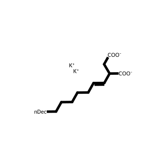 CCCCCCCCCCCCCCC/C=C/C(CC(=O)[O-])C(=O)[O-].[K+].[K+]